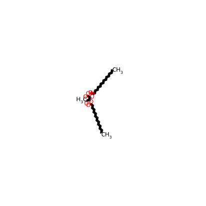 CCCCCCCCCCCCCCCC(=O)O[C@H](C(C)=O)[C@H](OC(=O)CCCCCCCCCCCCCCC)C(=O)O